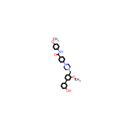 COc1ccc(NC(=O)c2ccc(N3CCN(Cc4ccc(-c5cccc(O)c5)cc4OC)CC3)cc2)cc1